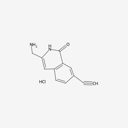 C#Cc1ccc2cc(CN)[nH]c(=O)c2c1.Cl